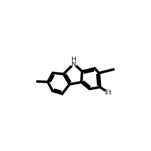 CCc1cc2c(cc1C)[nH]c1cc(C)ccc12